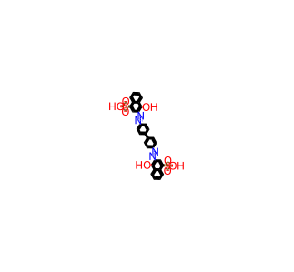 O=S(=O)(O)c1cc(/N=N/c2ccc(-c3ccc(/N=N/c4cc(S(=O)(=O)O)c5ccccc5c4O)cc3)cc2)c(O)c2ccccc12